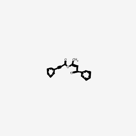 CC(=CC(=O)c1ccccc1)OC(=O)C#Cc1ccccc1